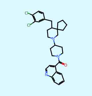 O=C(c1ccnc2ccccc12)N1CCC(N2CCC(Cc3ccc(Cl)c(Cl)c3)C3(CCCC3)C2)CC1